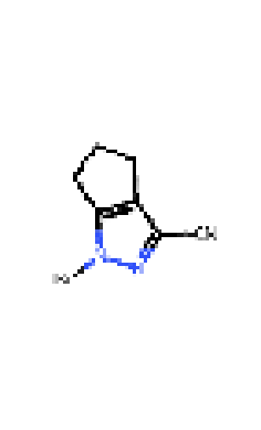 CC(C)(C)n1nc(C#N)c2c1CCC2